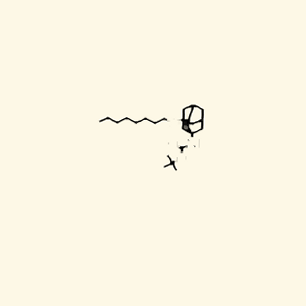 CCCCCCCCOC12CC3CC(CC(NC(=O)OC(C)(C)C)(C3)C1)C2